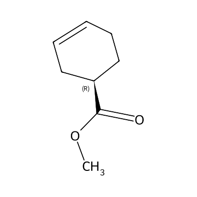 COC(=O)[C@H]1CC=CCC1